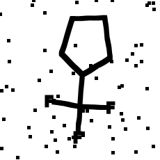 FC(F)(F)C1CCCC1